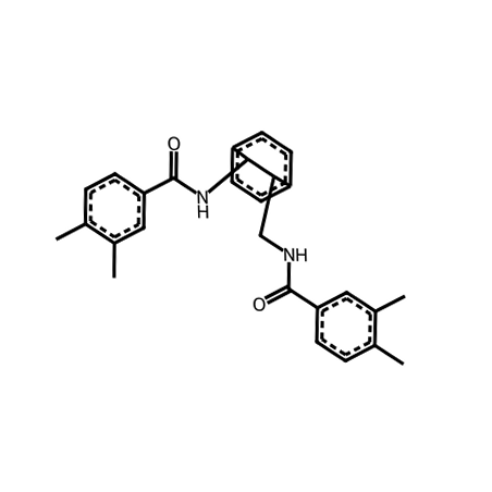 Cc1ccc(C(=O)NCC2c3ccc(cc3)C2NC(=O)c2ccc(C)c(C)c2)cc1C